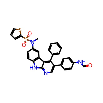 CN(c1ccc2[nH]c3ncc(-c4ccc(NC=O)cc4)c(-c4ccccc4)c3c2c1)S(=O)(=O)c1cccs1